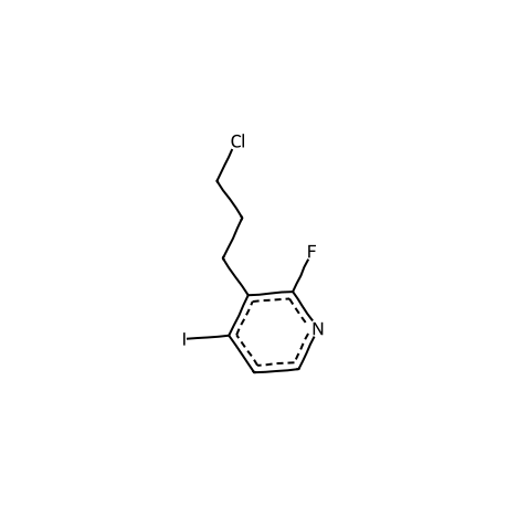 Fc1nccc(I)c1CCCCl